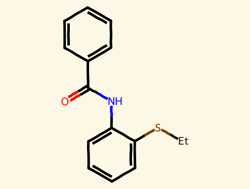 CCSc1ccccc1NC(=O)c1ccccc1